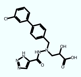 O=C(NN(Cc1ccc(-c2cccc(Cl)c2)cc1)CC(O)C(=O)O)c1cnn[nH]1